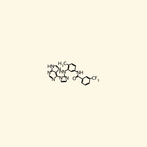 Cc1ccc(NC(=O)c2cccc(C(F)(F)F)c2)cc1Nc1nccn1-c1ncnc2[nH]cnc12